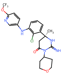 C[C@@]1(c2cccc(Nc3ccc(OC(F)(F)F)nc3)c2Cl)CC(=O)N(C2CCOCC2)C(=N)N1